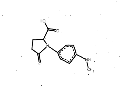 CNc1ccc(N2C(=O)CCC2C(=O)O)cc1